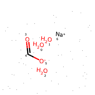 O.O.O.O=C[O-].[Na+]